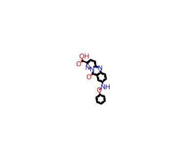 O=C(O)c1ccc2nc3ccc(NOc4ccccc4)cc3c(=O)n2n1